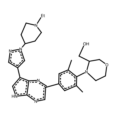 CCN1CCC(n2cc(-c3c[nH]c4ncc(-c5cc(C)c(N6CCOCC6CO)c(C)c5)nc34)cn2)CC1